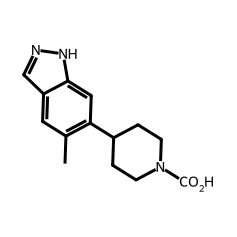 Cc1cc2cn[nH]c2cc1C1CCN(C(=O)O)CC1